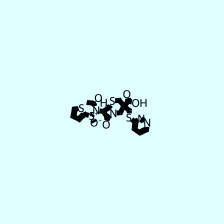 CC(=O)N(C1C(=O)N2CC(CSc3cccnn3)(C(=O)O)CS[C@H]12)[S+]([O-])c1cccs1